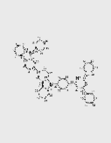 C1=C(c2ccc3c4ccccc4n(-c4ccccc4)c3c2)CCc2c1c1ccccc1n2-c1ccc(-c2cc(-c3ccccc3)nc(-c3ccccc3)n2)cc1